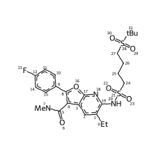 CCc1cc2c(C(=O)NC)c(-c3ccc(F)cc3)oc2nc1NS(=O)(=O)CCCCS(=O)(=O)C(C)(C)C